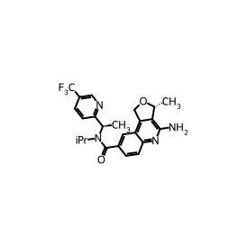 CC(C)N(C(=O)c1ccc2nc(N)c3c(c2c1)CO[C@@H]3C)[C@H](C)c1ccc(C(F)(F)F)cn1